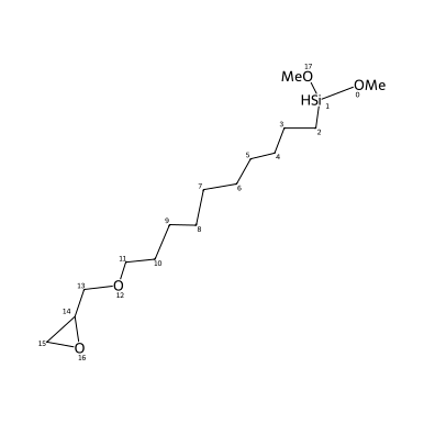 CO[SiH](CCCCCCCCCCOCC1CO1)OC